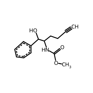 C#CCCC(NC(=O)OC)C(O)c1ccccc1